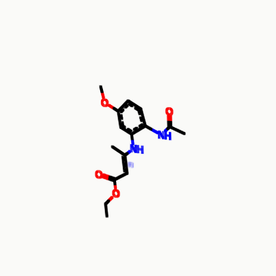 CCOC(=O)/C=C(\C)Nc1cc(OC)ccc1NC(C)=O